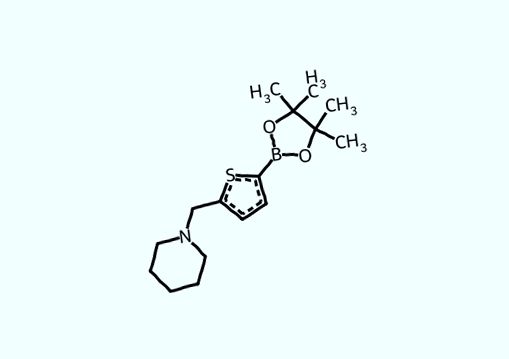 CC1(C)OB(c2ccc(CN3CCCCC3)s2)OC1(C)C